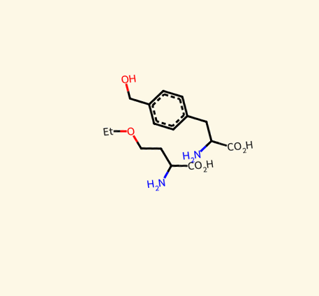 CCOCCC(N)C(=O)O.NC(Cc1ccc(CO)cc1)C(=O)O